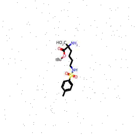 Cc1ccc(S(=O)(=O)NCCCCC(N)(C(=O)O)C(=O)OC(C)(C)C)cc1